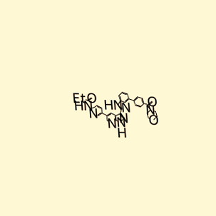 CCC(=O)Nc1ccc(-c2cnc3[nH]nc(-c4nc5c(-c6ccc(C(=O)N7CCOCC7)cc6)cccc5[nH]4)c3c2)cn1